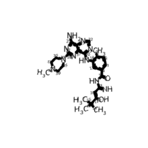 Cc1ccc(C(=O)NC(=N)/C=C(\O)C(C)(C)C)cc1Nc1ncnc2c(N)nc(N3CCN(C)CC3)nc12